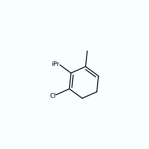 CC1=CCCC(Cl)=C1C(C)C